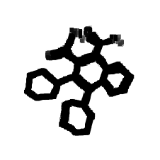 NC(=O)c1c(C2CCCCC2)c(C2CCCCC2)c2ccccc2c1C(N)=O